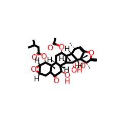 C=C1OC2=C[C@@H](C)[C@H]3[C@@H]([C@H](O)[C@H]4[C@@H]5[C@@H](O)C(=O)C6C[C@@H]7O[C@@H]7[C@H](OC(=O)CC(C)C)[C@]6(C)[C@H]5C[C@H](OC(C)=O)[C@]34C)[C@@]2(C)[C@]1(C)O